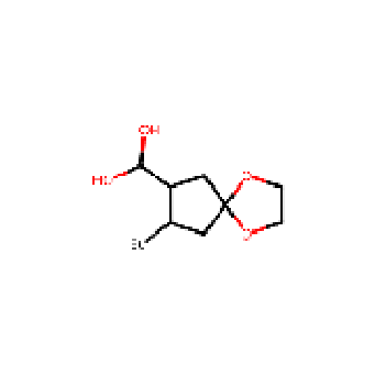 CCC1CC2(CC1C(O)O)OCCO2